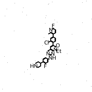 CCn1c(=O)c(-c2ccc(-c3ccc(F)nc3C)cc2Cl)cc2cnc(Nc3ccc(C4CCNCC4)c(F)c3)nc21